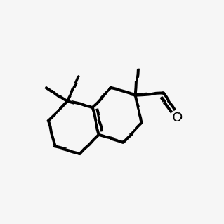 CC1(C=O)CCC2=C(C1)C(C)(C)CCC2